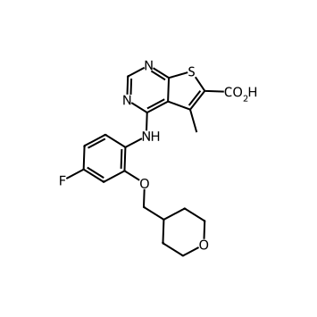 Cc1c(C(=O)O)sc2ncnc(Nc3ccc(F)cc3OCC3CCOCC3)c12